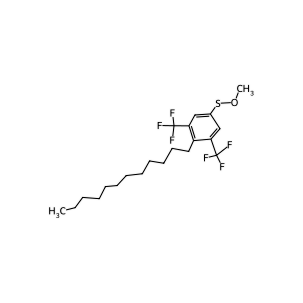 CCCCCCCCCCCCc1c(C(F)(F)F)cc(SOC)cc1C(F)(F)F